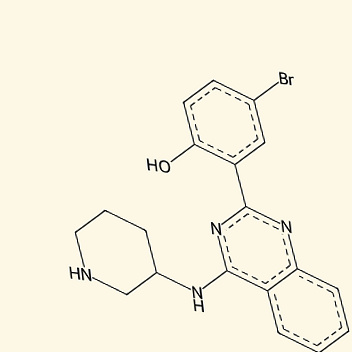 Oc1ccc(Br)cc1-c1nc(NC2CCCNC2)c2ccccc2n1